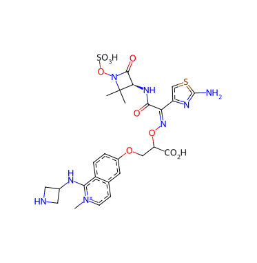 C[n+]1ccc2cc(OCC(O/N=C(\C(=O)N[C@@H]3C(=O)N(OS(=O)(=O)O)C3(C)C)c3csc(N)n3)C(=O)O)ccc2c1NC1CNC1